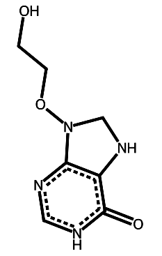 O=c1[nH]cnc2c1NCN2OCCO